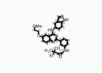 CCC(C)(C)C1OC1Nc1cccc(-c2nc(Nc3ccc4[nH]ncc4c3)c3cc(OCCOC)ccc3n2)c1